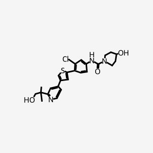 CC(C)(CO)c1cc(-c2csc(-c3ccc(NC(=O)N4CCC(O)CC4)cc3Cl)c2)ccn1